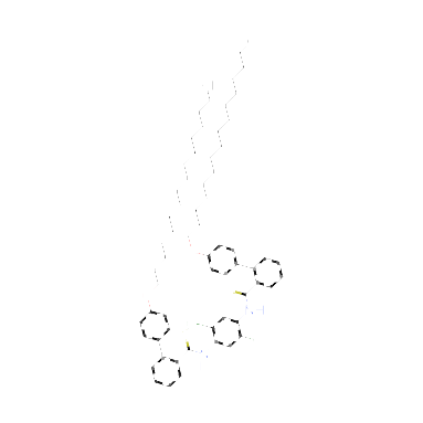 CCCCCCCCCCCCCCCCOc1ccc(-c2ccccc2C(=S)Nc2cc(Cl)c(NC(=S)c3ccccc3-c3ccc(OCCCCCCCCCCCCCCCC)cc3)cc2Cl)cc1